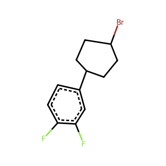 Fc1ccc(C2CCC(Br)CC2)cc1F